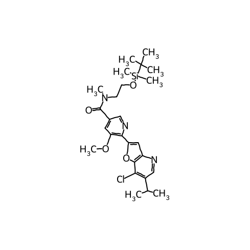 COc1cc(C(=O)N(C)CCO[Si](C)(C)C(C)(C)C)cnc1-c1cc2ncc(C(C)C)c(Cl)c2o1